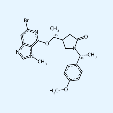 COc1ccc([C@@H](C)N2CC([C@@H](C)Oc3nc(Br)cc4ncn(C)c34)CC2=O)cc1